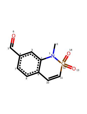 CN1c2cc(C=O)ccc2C=CS1(=O)=O